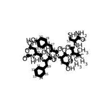 CC(C)(C)C(NC(=O)C(CC(=O)O)NC(=O)C(Cc1ccc(O)cc1)NC(=O)C(Cc1ccccc1)NC(=O)C(CC(=O)O)NC=O)C(=O)NC(CS)C(N)=O